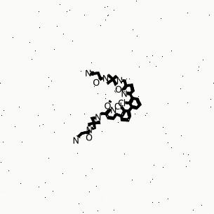 COc1nc(-c2cccc(-c3cccc(-c4ccc(CN5CC6(C5)CN(C(=O)CC#N)C6)c(OC)n4)c3Cl)c2Cl)ccc1CN1CC2(C1)CN(C(=O)CC#N)C2